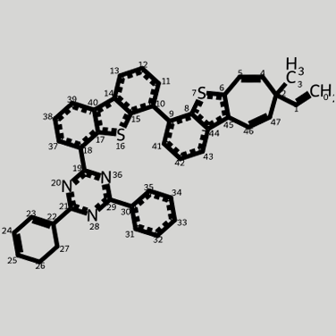 C=CC1(C)C=Cc2sc3c(-c4cccc5c4sc4c(-c6nc(C7=CC=CCC7)nc(-c7ccccc7)n6)cccc45)cccc3c2C=C1